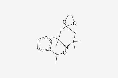 COC1(OC)CC(C)(C)N(OC(C)c2ccccc2)C(C)(C)C1